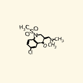 CN(C)C=C1CN(S(C)(=O)=O)c2ccc(Cl)cc2C1=O